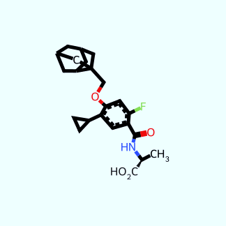 C[C@H](NC(=O)c1cc(C2CC2)c(OCC23CC4CC(CC2C4)C3)cc1F)C(=O)O